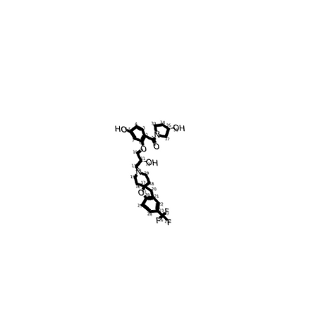 O=C(c1ccc(O)cc1OC[C@H](O)CN1CCC2(CC1)Cc1cc(C(F)(F)F)ccc1O2)N1CC[C@H](O)C1